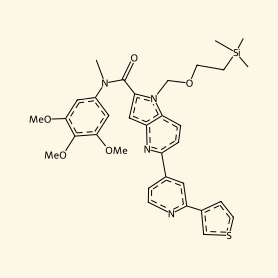 COc1cc(N(C)C(=O)c2cc3nc(-c4ccnc(-c5ccsc5)c4)ccc3n2COCC[Si](C)(C)C)cc(OC)c1OC